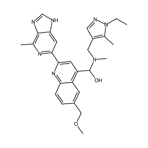 CCn1ncc(CN(C)C(O)c2cc(-c3cc4[nH]cnc4c(C)n3)nc3ccc(COC)cc23)c1C